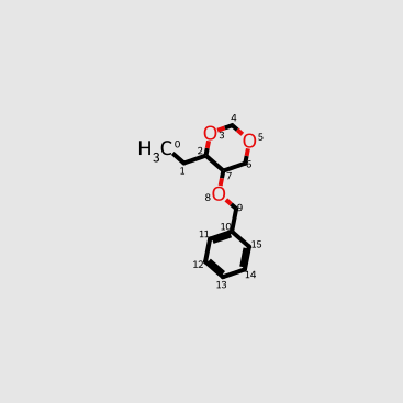 CCC1OCOCC1OCc1ccccc1